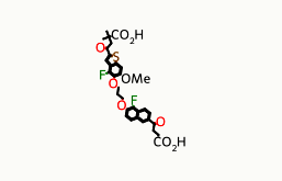 COc1cc2sc(C(=O)CC(C)(C)C(=O)O)cc2c(F)c1OCCCOc1ccc2cc(C(=O)CCC(=O)O)ccc2c1F